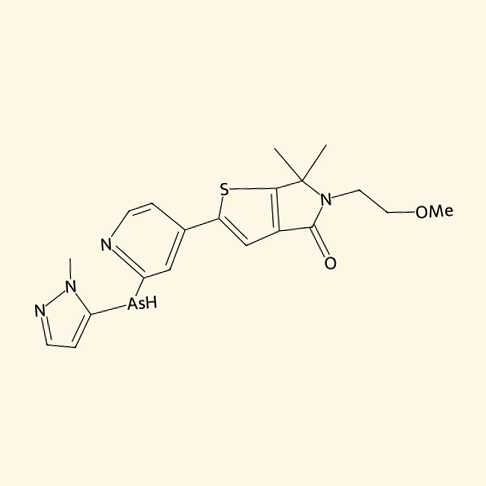 COCCN1C(=O)c2cc(-c3ccnc([AsH]c4ccnn4C)c3)sc2C1(C)C